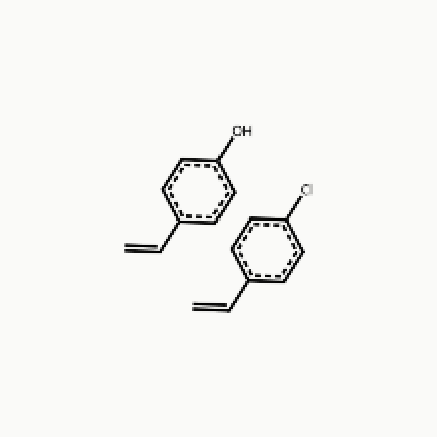 C=Cc1ccc(Cl)cc1.C=Cc1ccc(O)cc1